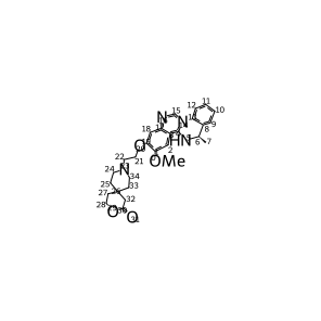 COc1cc2c(N[C@H](C)c3ccccc3)ncnc2cc1OCCN1CCC2(CCOC(=O)C2)CC1